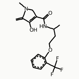 C=C1C(O)=C(C(=O)NC(C)CCOc2ccccc2C(F)(F)F)CN1C